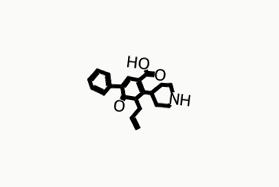 C=CCC1C(=O)C(c2ccccc2)=CC(C(=O)O)=C1C1CCNCC1